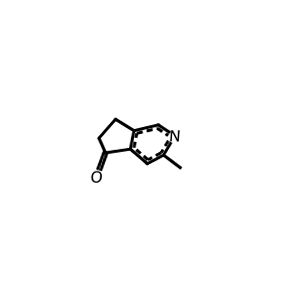 Cc1cc2c(cn1)CCC2=O